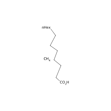 C.CCCCCCCCCCCCC(=O)O